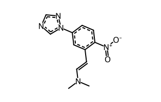 CN(C)C=Cc1cc(-n2cncn2)ccc1[N+](=O)[O-]